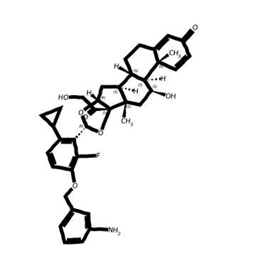 C[C@]12C=CC(=O)C=C1CC[C@@H]1[C@@H]2[C@@H](O)C[C@@]2(C)[C@H]1C[C@H]1O[C@@H](c3c(C4CC4)ccc(OCc4cccc(N)c4)c3F)O[C@]12C(=O)CO